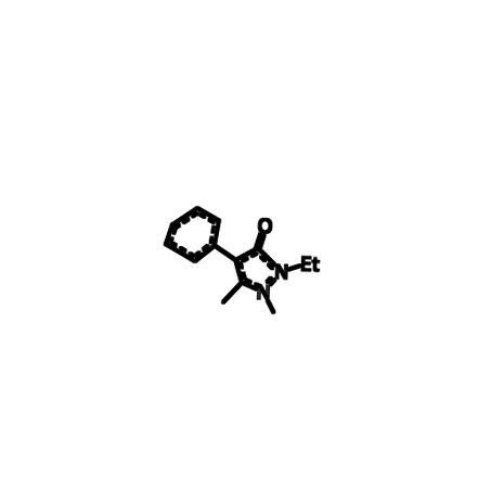 CCn1c(=O)c(-c2ccccc2)c(C)n1C